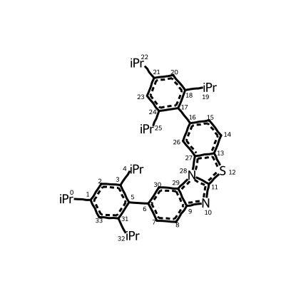 CC(C)c1cc(C(C)C)c(-c2ccc3nc4sc5ccc(-c6c(C(C)C)cc(C(C)C)cc6C(C)C)cc5n4c3c2)c(C(C)C)c1